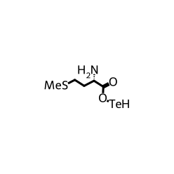 CSCC[C@H](N)C(=O)O[TeH]